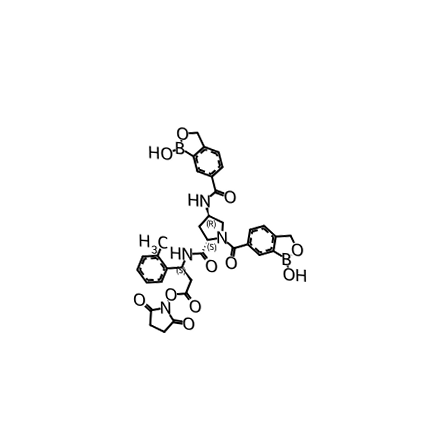 Cc1ccccc1[C@H](CC(=O)ON1C(=O)CCC1=O)NC(=O)[C@@H]1C[C@@H](NC(=O)c2ccc3c(c2)B(O)OC3)CN1C(=O)c1ccc2c(c1)B(O)OC2